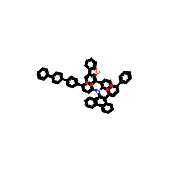 c1ccc(-c2ccc(-c3ccc(-c4ccc(N(c5ccccc5-c5cccc6c5oc5ccccc56)c5c(-c6ccc(-c7ccccc7)cc6)c6ccccc6c6ccccc56)cc4)cc3)cc2)cc1